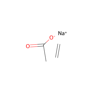 C=C.CC(=O)[O-].[Na+]